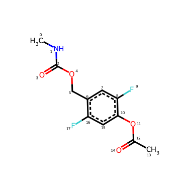 CNC(=O)OCc1cc(F)c(OC(C)=O)cc1F